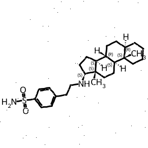 C[C@]12CCCC[C@@H]1CC[C@@H]1[C@@H]2CC[C@]2(C)[C@@H](NCCc3ccc(S(N)(=O)=O)cc3)CC[C@@H]12